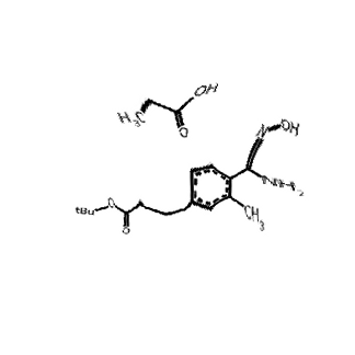 CCC(=O)O.Cc1cc(CCC(=O)OC(C)(C)C)ccc1/C(N)=N/O